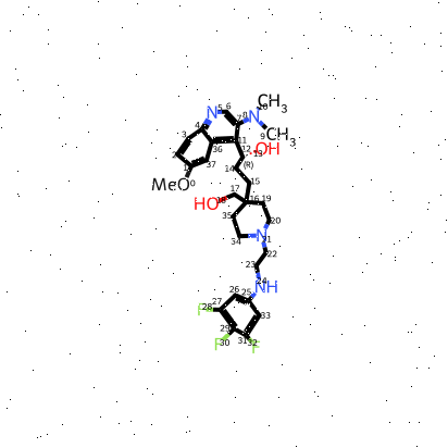 COc1ccc2ncc(N(C)C)c([C@H](O)CCC3(CO)CCN(CCNc4cc(F)c(F)c(F)c4)CC3)c2c1